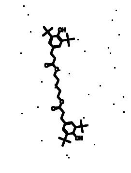 CC(C)(C)C1=CC(CCC(=O)OCCSCCOC(=O)CCc2cc(C(C)(C)C)c(O)c(C(C)(C)C)c2)=CC(C(C)(C)C)C1O